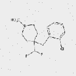 O=C(O)N1CCC(Cc2ccccc2Cl)(C(F)F)CC1